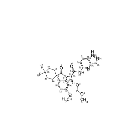 COCO[C@@H]1CN(C(=O)C2(c3ccc(OC)cc3)CCC(F)(F)CC2)[C@H]1C(=O)Nc1ccc2[nH]ncc2n1